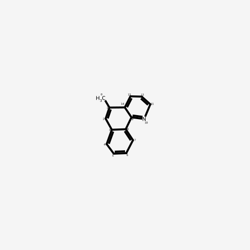 Cc1cc2ccccc2c2ncccc12